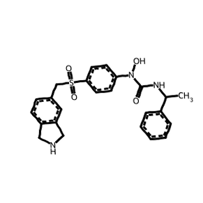 CC(NC(=O)N(O)c1ccc(S(=O)(=O)Cc2ccc3c(c2)CNC3)cc1)c1ccccc1